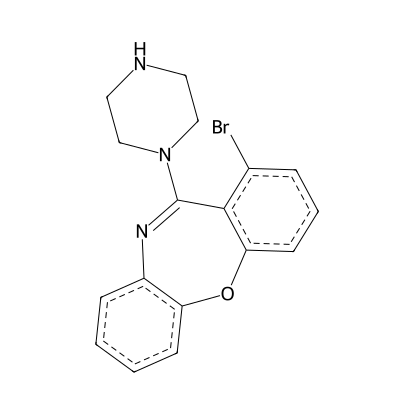 Brc1cccc2c1C(N1CCNCC1)=Nc1ccccc1O2